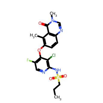 CCCS(=O)(=O)Nc1ncc(F)c(Oc2ccc3ncn(C)c(=O)c3c2C)c1Cl